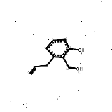 C=CCc1cccc(O)c1CO